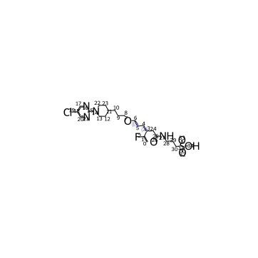 C=C(F)/C(=C\C=C\OCCCC1CCN(c2ncc(Cl)cn2)CC1)CC(=O)NCCCS(=O)(=O)O